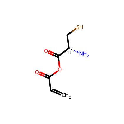 C=CC(=O)OC(=O)[C@@H](N)CS